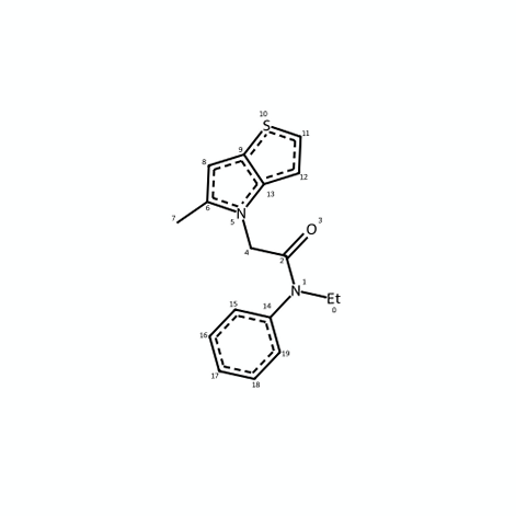 CCN(C(=O)Cn1c(C)cc2sccc21)c1ccccc1